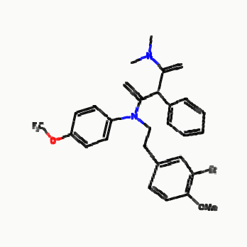 C=C(C(C(=C)N(CCc1ccc(OC)c(CC)c1)c1ccc(OC(F)(F)F)cc1)c1ccccc1)N(C)C